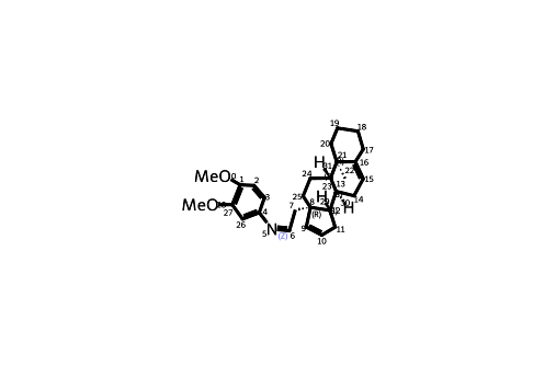 COc1ccc(/N=C\C[C@@]23C=CC[C@H]2[C@@H]2CC=C4CCCC[C@]4(C)[C@H]2CC3)cc1OC